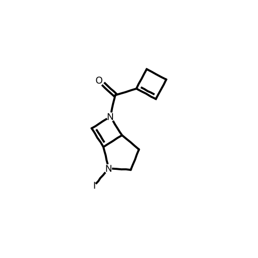 O=C(C1=CCC1)N1C=C2C1CCN2I